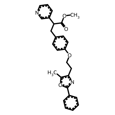 COC(=O)C(Cc1ccc(OCCc2nc(-c3ccccc3)oc2C)cc1)c1cccnc1